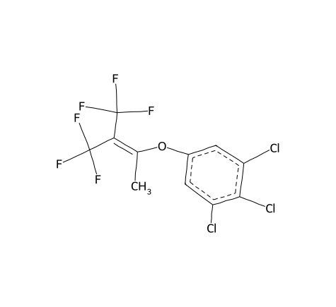 CC(Oc1cc(Cl)c(Cl)c(Cl)c1)=C(C(F)(F)F)C(F)(F)F